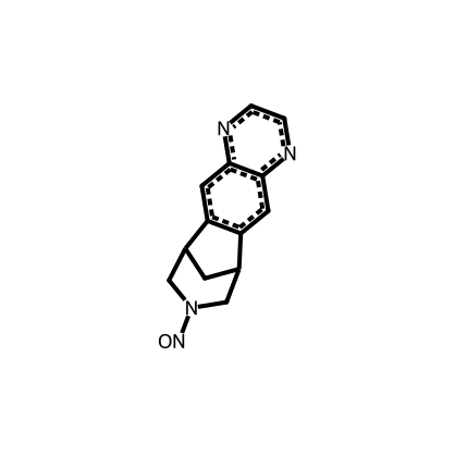 O=NN1CC2CC(C1)c1cc3nccnc3cc12